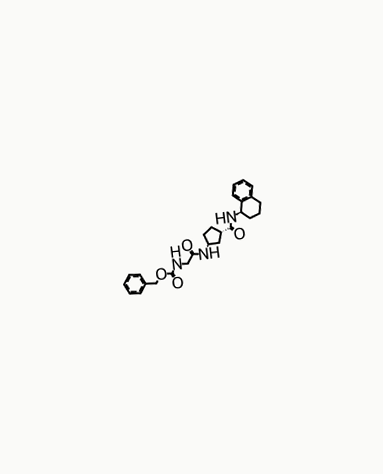 O=C(CNC(=O)OCc1ccccc1)N[C@@H]1CC[C@H](C(=O)N[C@@H]2CCCc3ccccc32)C1